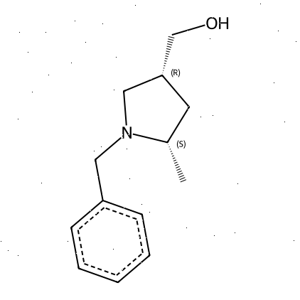 C[C@H]1C[C@@H](CO)CN1Cc1ccccc1